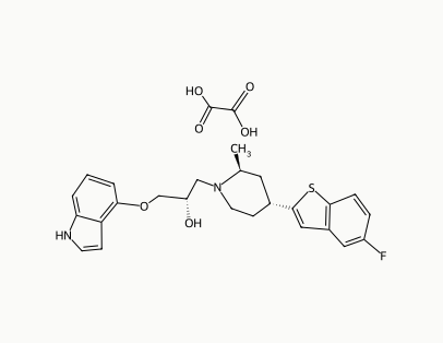 C[C@H]1C[C@H](c2cc3cc(F)ccc3s2)CCN1C[C@H](O)COc1cccc2[nH]ccc12.O=C(O)C(=O)O